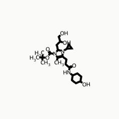 CC1=C(CCC(=O)NC2CCC(O)CC2)N(C2CC2)C(CC(O)CO)N1C(=O)OC(C)(C)C